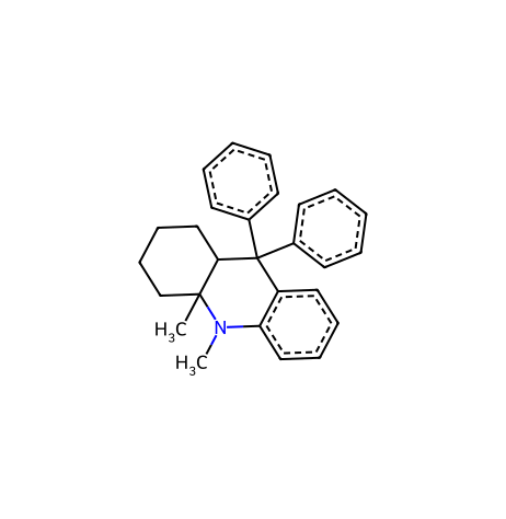 CN1c2ccccc2C(c2ccccc2)(c2ccccc2)C2CCCCC21C